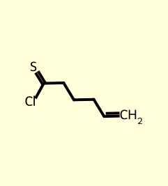 C=CCCCC(=S)Cl